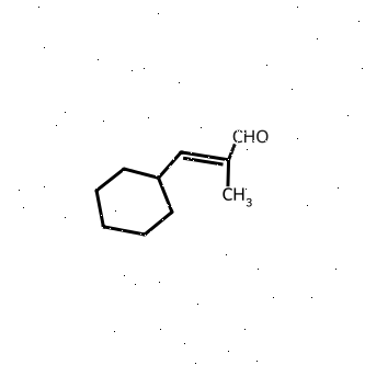 CC(C=O)=CC1CCCCC1